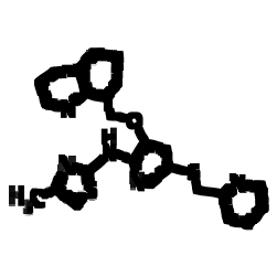 Cc1csc(Nc2ncc(SCc3ccccn3)cc2OCc2cccc3cccnc23)n1